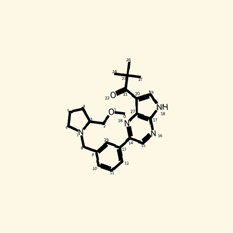 COCC1CCCN1Cc1cccc(-c2cnc3[nH]cc(C(=O)C(C)(C)C)c3n2)c1